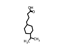 CC(C)C1CCC(CCCC(=O)O)CC1